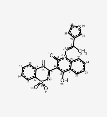 CC(=Nn1c(=O)c(C2=NS(=O)(=O)c3ccccc3N2)c(O)c2ccccc21)c1ccsc1